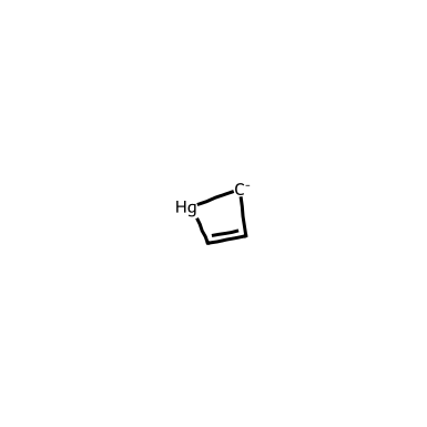 C1=[CH][Hg][CH-]1